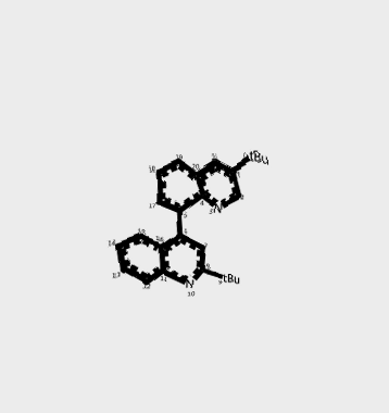 CC(C)(C)c1cnc2c(-c3cc(C(C)(C)C)nc4ccccc34)cccc2c1